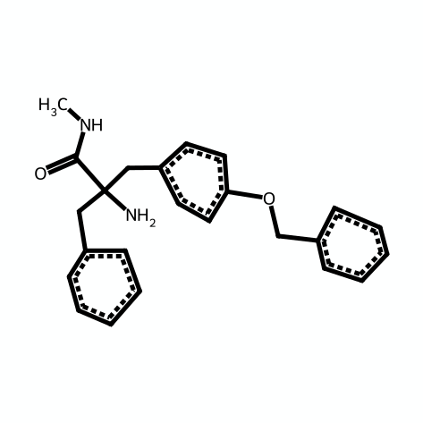 CNC(=O)C(N)(Cc1ccccc1)Cc1ccc(OCc2ccccc2)cc1